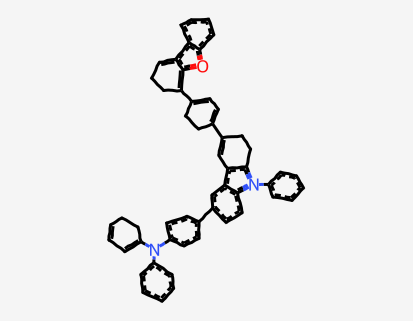 C1=CCCC(N(c2ccccc2)c2ccc(-c3ccc4c(c3)c3c(n4-c4ccccc4)CCC(C4=CC=C(C5=c6oc7ccccc7c6=CCC5)CC4)=C3)cc2)=C1